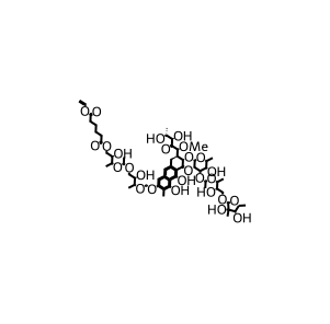 C=COC(=O)CCCCC(=O)OC[C@H](O)C(C)OC(C)OC[C@H](O)C(C)OCOc1cc2cc3c(c(O)c2c(O)c1C)C(=O)[C@@H](O[C@H]1CC(OC(C)OC(C)[C@H](O)COC2OC(C)[C@@H](O)C2(C)O)[C@H](O)C(C)O1)[C@H]([C@H](OC)C(=O)[C@@H](O)[C@@H](C)O)C3